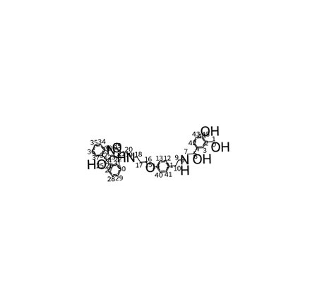 OCc1cc([C@@H](O)CNCCc2ccc(OCCCNCc3cc(C(O)(c4ccccc4)c4ccccc4)no3)cc2)ccc1O